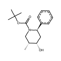 C[C@@H]1CN(C(=O)OC(C)(C)C)[C@@H](c2ccccc2)C[C@@H]1O